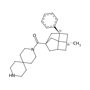 C[C@]12CC3CC4(C(=O)N5CCC6(CCNCC6)CC5)CC31[C@](c1ccccc1)(C4)C2